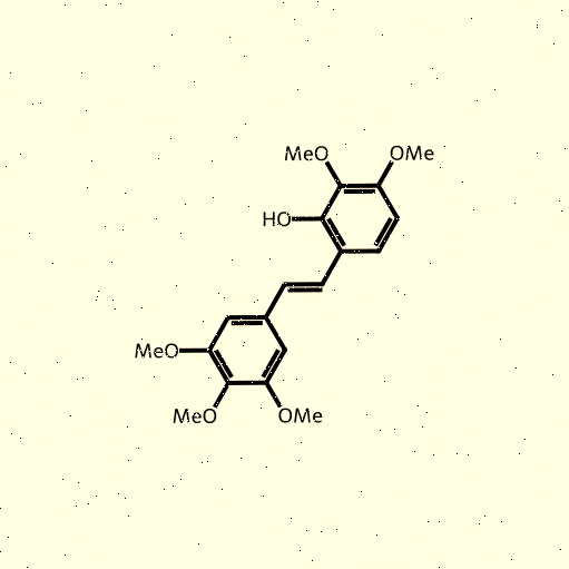 COc1cc(C=Cc2ccc(OC)c(OC)c2O)cc(OC)c1OC